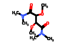 COC(C(=O)N(C)C)[C@H](OC)C(=O)N(C)C